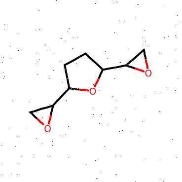 C1OC1C1CCC(C2CO2)O1